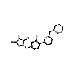 O=C1CN(Cc2ccc(-c3cccc(CN4CCCCC4)n3)c(F)c2)C(=O)N1